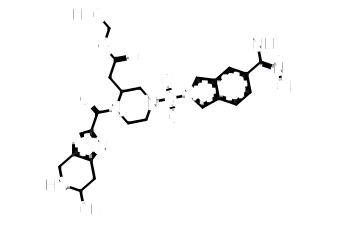 CCOC(=O)CC1CN(S(=O)(=O)n2cc3ccc(/C(N)=N\O)cc3c2)CCN1C(=O)c1nc2c(s1)CNC(C)C2